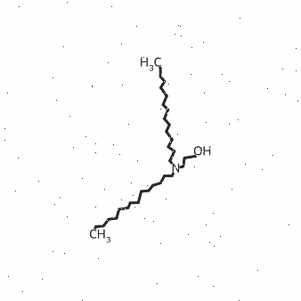 CCCCCCCCCCCCCCCN(CCCO)CCCCCCCCCCCCCCC